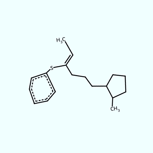 C/C=C(/CCCC1CCCC1C)Sc1ccccc1